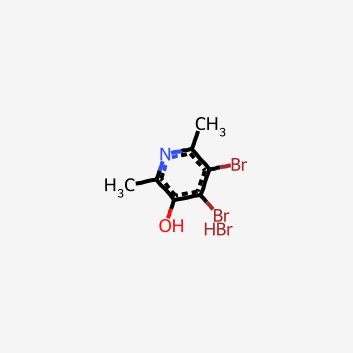 Br.Cc1nc(C)c(Br)c(Br)c1O